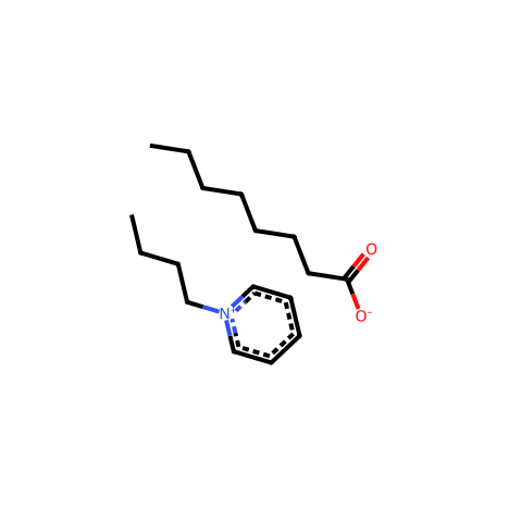 CCCCCCCC(=O)[O-].CCCC[n+]1ccccc1